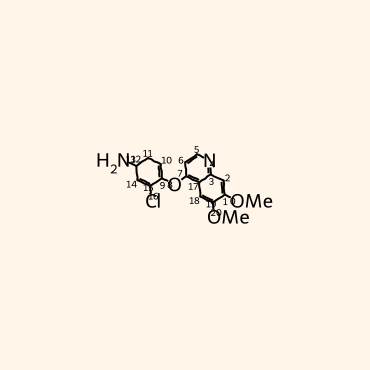 COc1cc2nccc(OC3=CCC(N)C=C3Cl)c2cc1OC